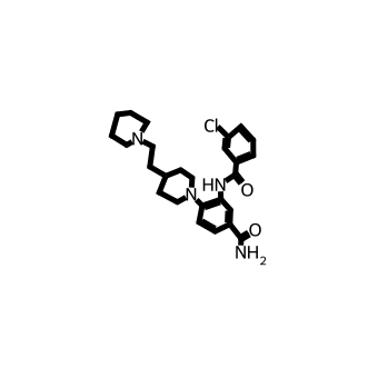 NC(=O)c1ccc(N2CCC(CCN3CCCCC3)CC2)c(NC(=O)c2cccc(Cl)c2)c1